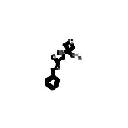 CC1(NCC(=O)OCc2ccccc2)COC1